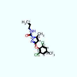 C=CCNC(=O)n1nc(Oc2c(Cl)cc(C(F)(F)F)cc2Cl)cc1C